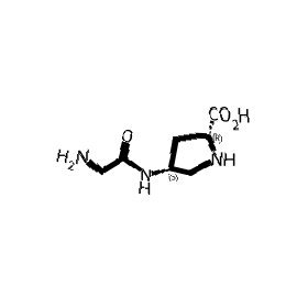 NCC(=O)N[C@@H]1CN[C@@H](C(=O)O)C1